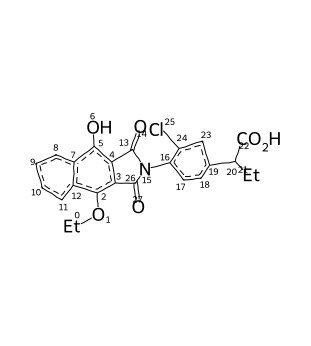 CCOc1c2c(c(O)c3ccccc13)C(=O)N(c1ccc(C(CC)C(=O)O)cc1Cl)C2=O